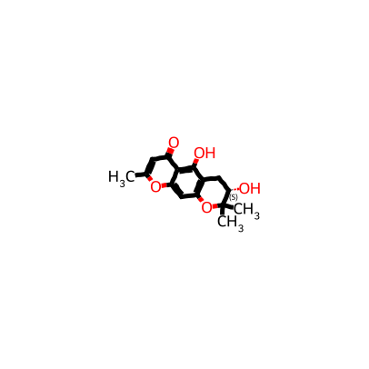 Cc1cc(=O)c2c(O)c3c(cc2o1)OC(C)(C)[C@@H](O)C3